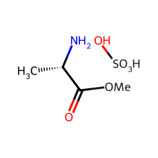 COC(=O)[C@H](C)N.O=S(=O)(O)O